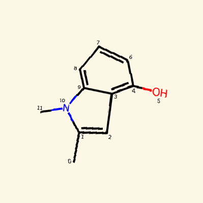 Cc1cc2c(O)cccc2n1C